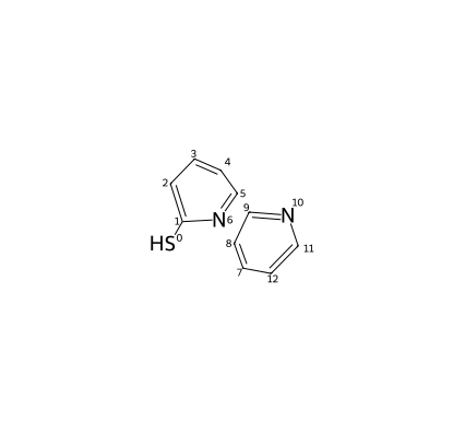 Sc1ccccn1.c1ccncc1